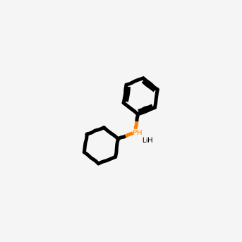 [LiH].c1ccc(PC2CCCCC2)cc1